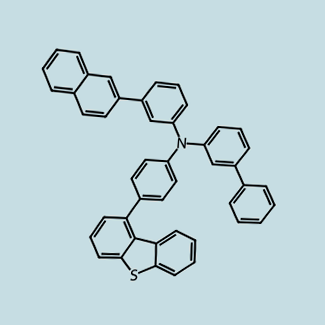 c1ccc(-c2cccc(N(c3ccc(-c4cccc5sc6ccccc6c45)cc3)c3cccc(-c4ccc5ccccc5c4)c3)c2)cc1